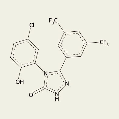 O=c1[nH]nc(-c2cc(C(F)(F)F)cc(C(F)(F)F)c2)n1-c1cc(Cl)ccc1O